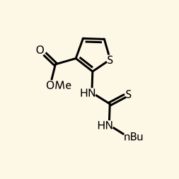 CCCCNC(=S)Nc1sccc1C(=O)OC